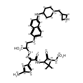 CC1(C)C(NC(=O)/C(=N\OC(COc2ccc3cc(NC4CCN(CC5CNC5)CC4)ccc3c2)C(=O)O)c2csc(N)n2)C(=O)N1OS(=O)(=O)O